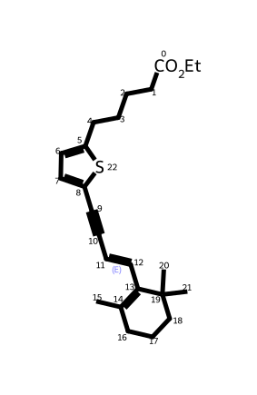 CCOC(=O)CCCCc1ccc(C#C/C=C/C2=C(C)CCCC2(C)C)s1